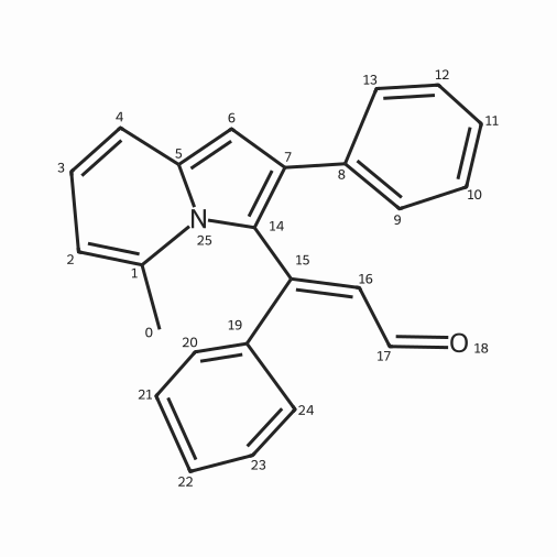 Cc1cccc2cc(-c3ccccc3)c(/C(=C/C=O)c3ccccc3)n12